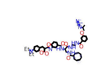 CCN(CC)c1ccc2cc(-c3nc4cc(C(=O)NC(CNC(=O)C5=C/C=C\C=C/C=C\5)C(=O)NCCNC(=O)c5cccc(OCC(C)N=[N+]=[N-])c5)ccc4o3)c(=O)oc2c1